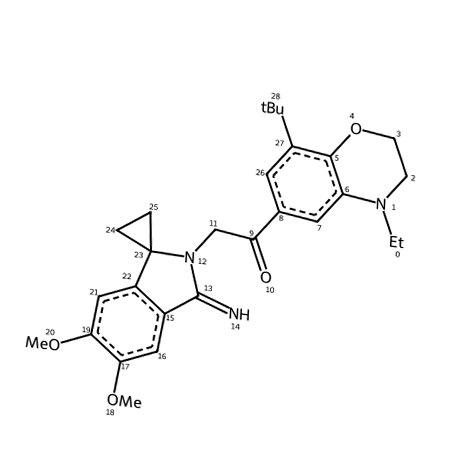 CCN1CCOc2c1cc(C(=O)CN1C(=N)c3cc(OC)c(OC)cc3C13CC3)cc2C(C)(C)C